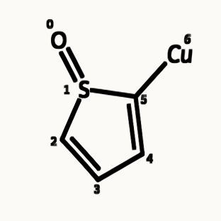 O=S1C=CC=[C]1[Cu]